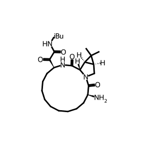 CCC(C)NC(=O)C(=O)[C@@H]1CCCCCCCCC[C@H](N)C(=O)N2C[C@H]3[C@@H]([C@H]2C(=O)N1)C3(C)C